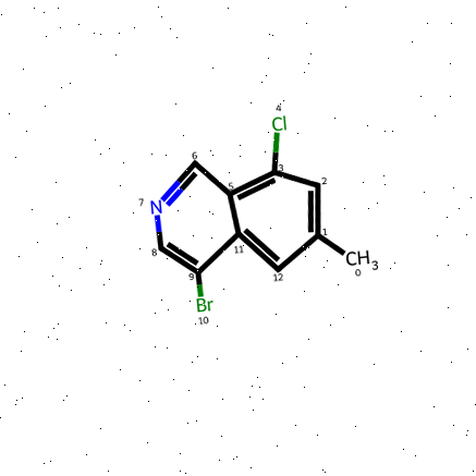 Cc1cc(Cl)c2cncc(Br)c2c1